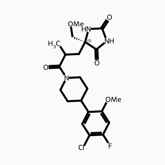 COC[C@]1(CC(C)C(=O)N2CCC(c3cc(Cl)c(F)cc3OC)CC2)NC(=O)NC1=O